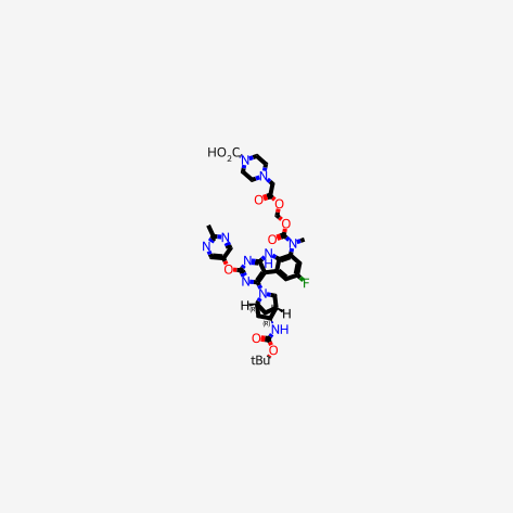 Cc1ncc(Oc2nc(N3C[C@H]4C[C@@H]3C[C@H]4NC(=O)OC(C)(C)C)c3c(n2)[nH]c2c(N(C)C(=O)OCOC(=O)CN4CCN(C(=O)O)CC4)cc(F)cc23)cn1